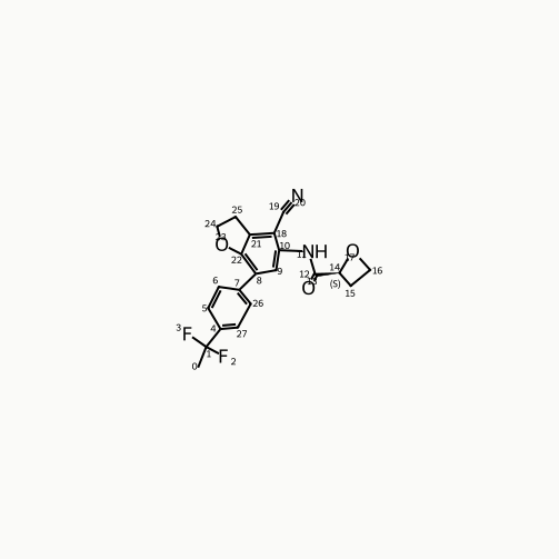 CC(F)(F)c1ccc(-c2cc(NC(=O)[C@@H]3CCO3)c(C#N)c3c2OCC3)cc1